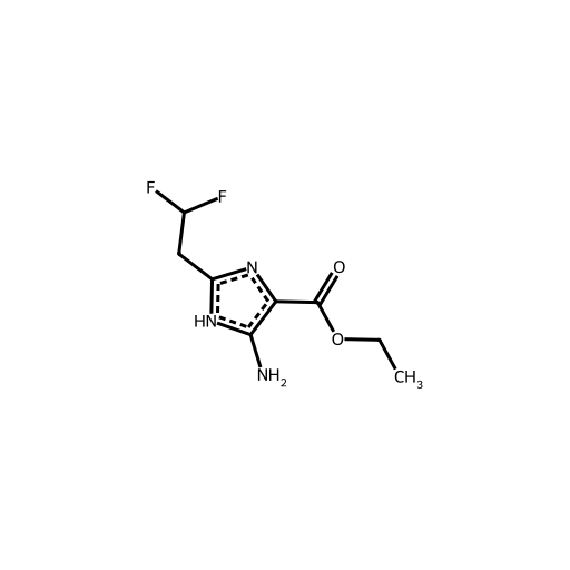 CCOC(=O)c1nc(CC(F)F)[nH]c1N